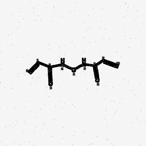 C=CC(=O)NONC(=O)C=C